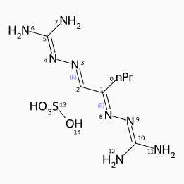 CCCC(/C=N/N=C(N)N)=N\N=C(N)N.O=S(=O)(O)O